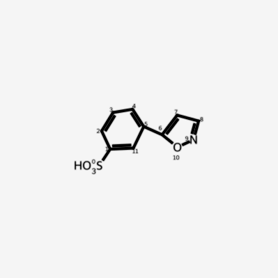 O=S(=O)(O)c1cccc(-c2ccno2)c1